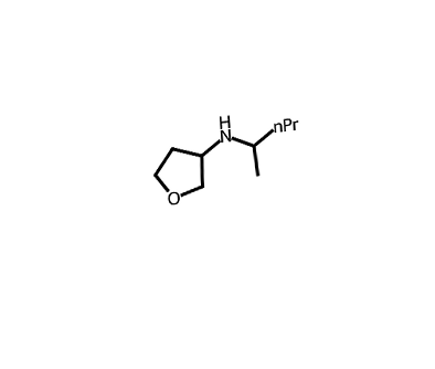 CCCC(C)NC1CCOC1